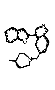 CC1CCN(Cc2ccc3cncc(-c4cc5ccccc5o4)c3c2)CC1